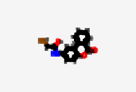 O=C(CS)Nc1ccc2oc(=O)c3ccccc3c2c1